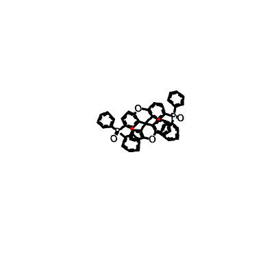 O=P(c1ccccc1)(c1ccccc1)c1ccc2c(c1)C1(c3ccccc3Oc3ccccc31)c1cc(P(=O)(c3ccccc3)c3ccccc3)ccc1O2